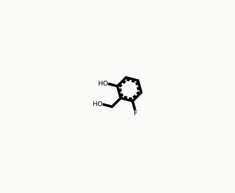 OCc1c(O)cccc1F